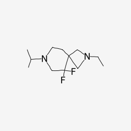 CCN1CC2(CCN(C(C)C)CC2(F)F)C1